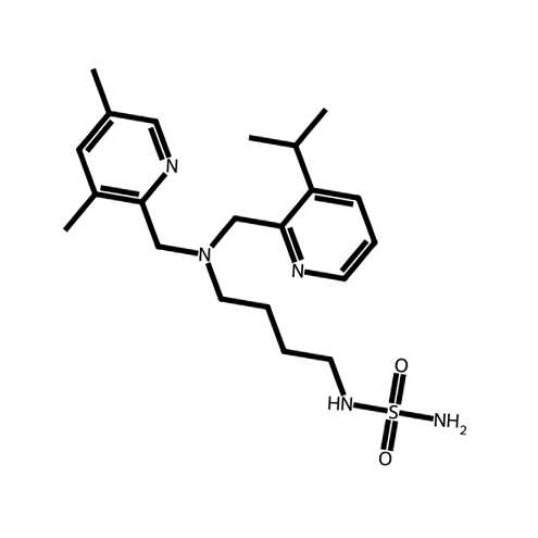 Cc1cnc(CN(CCCCNS(N)(=O)=O)Cc2ncccc2C(C)C)c(C)c1